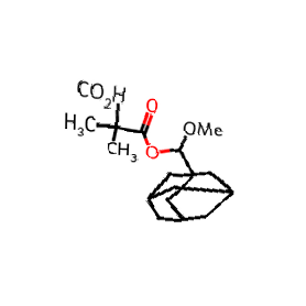 COC(OC(=O)C(C)(C)C(=O)O)C12CC3CC(CC(C3)C1)C2